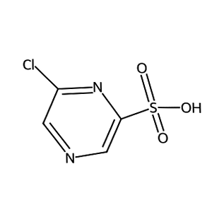 O=S(=O)(O)c1cncc(Cl)n1